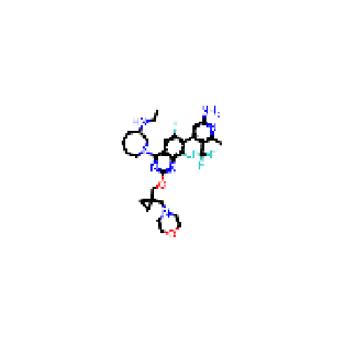 CCNC1CCCCN(c2nc(OCC3(CN4CCOCC4)CC3)nc3c(F)c(-c4cc(N)nc(C)c4C(F)(F)F)c(F)cc23)C1